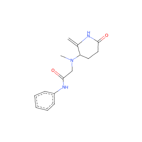 C=C1NC(=O)CCC1N(C)CC(=O)Nc1ccccc1